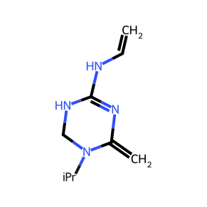 C=CNC1=NC(=C)N(C(C)C)CN1